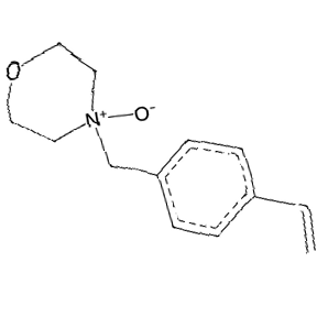 C=Cc1ccc(C[N+]2([O-])CCOCC2)cc1